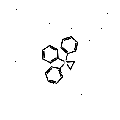 c1ccc(P2(c3ccccc3)(c3ccccc3)CC2)cc1